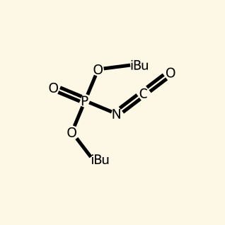 CCC(C)OP(=O)(N=C=O)OC(C)CC